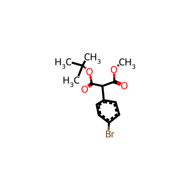 COC(=O)C(C(=O)OC(C)(C)C)c1ccc(Br)cc1